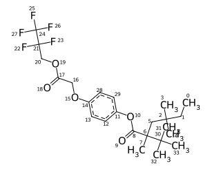 CCC(C)(C)CC(C)(C(=O)Oc1ccc(OCC(=O)OCC(F)(F)C(F)(F)F)cc1)C(C)(C)C